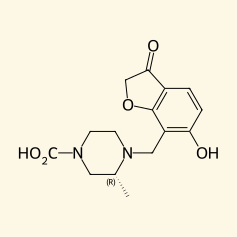 C[C@@H]1CN(C(=O)O)CCN1Cc1c(O)ccc2c1OCC2=O